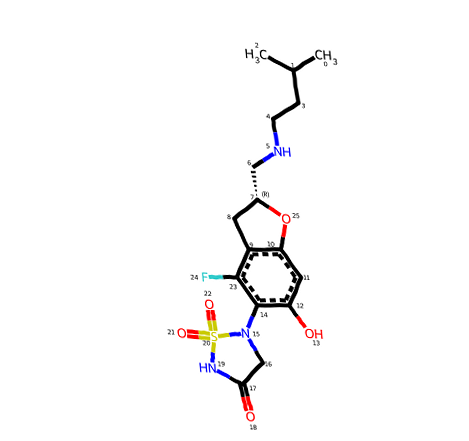 CC(C)CCNC[C@H]1Cc2c(cc(O)c(N3CC(=O)NS3(=O)=O)c2F)O1